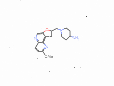 COc1ccc2ncc3c(c2n1)CC(CN1CCC(N)CC1)O3